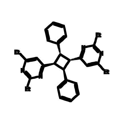 CCc1cc([C@H]2[C@H](c3ccccc3)[C@H](c3cc(CC)nc(CC)n3)[C@H]2c2ccccc2)nc(CC)n1